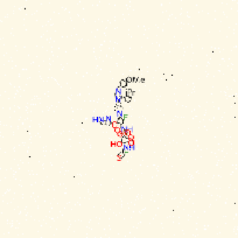 COc1ccc(CN2CCN(C3CC4(CCN(c5cc(Oc6cnc7[nH]ccc7c6)c(C(=O)NS(=O)(=O)c6cc(O)c(NCC7(F)CCOCC7)c7c6OCO7)cc5F)CC4)C3)[C@H](c3ccccc3C(C)C)C2)cc1